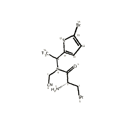 CC(C)C[C@H](N)C(=O)N(CC#N)C(c1ccc(Br)s1)C(F)(F)F